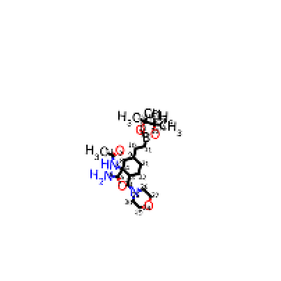 CC(=O)NC1(C(N)=O)CC(CCB2OC(C)(C)C(C)(C)O2)CCC1CN1CCOCC1